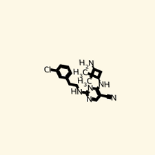 CC1(C)[C@@H](N)C[C@H]1Nc1nc(NCCc2cccc(Cl)c2)ncc1C#N